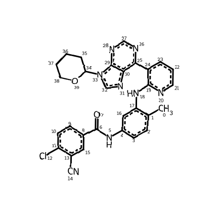 Cc1ccc(NC(=O)c2ccc(Cl)c(C#N)c2)cc1Nc1ncccc1-c1ncnc2c1ncn2C1CCCCO1